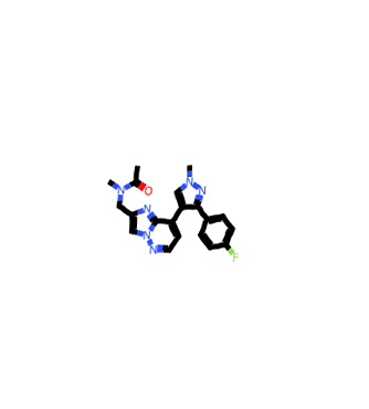 CC(=O)N(C)Cc1cn2nccc(-c3cn(C)nc3-c3ccc(F)cc3)c2n1